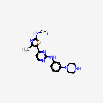 CNc1nc(C)c(-c2ccnc(Nc3cccc(N4CCNCC4)c3)n2)s1